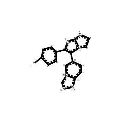 Fc1ccc(-c2nc3occn3c2-c2ccc3nncn3c2)cc1